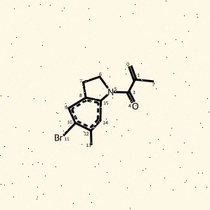 C=C(C)C(=O)N1CCc2cc(Br)c(C)cc21